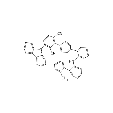 Cc1ccccc1-c1ccccc1Nc1ccccc1-c1ccc(-c2c(C#N)ccc(-n3c4ccccc4c4ccccc43)c2C#N)cc1